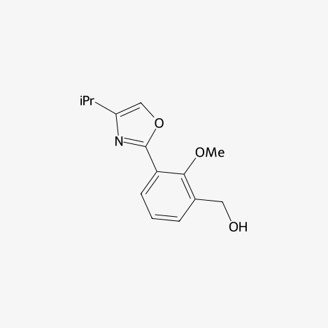 COc1c(CO)cccc1-c1nc(C(C)C)co1